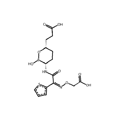 O=C(O)CC[C@@H]1CC[C@H](NC(=O)/C(=N\OCC(=O)O)c2cccs2)B(O)O1